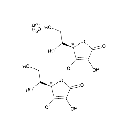 O.O=C1O[C@H](C(O)CO)C([O-])=C1O.O=C1O[C@H](C(O)CO)C([O-])=C1O.[Zn+2]